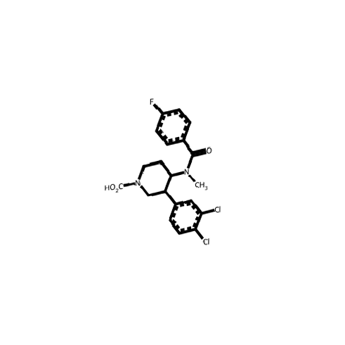 CN(C(=O)c1ccc(F)cc1)C1CCN(C(=O)O)CC1c1ccc(Cl)c(Cl)c1